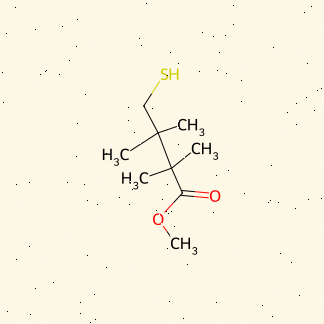 COC(=O)C(C)(C)C(C)(C)CS